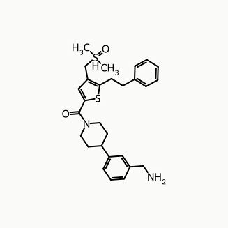 C[SH](C)(=O)Cc1cc(C(=O)N2CCC(c3cccc(CN)c3)CC2)sc1CCc1ccccc1